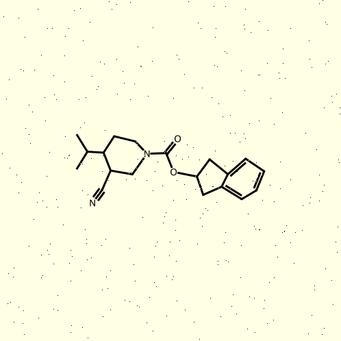 CC(C)C1CCN(C(=O)OC2Cc3ccccc3C2)CC1C#N